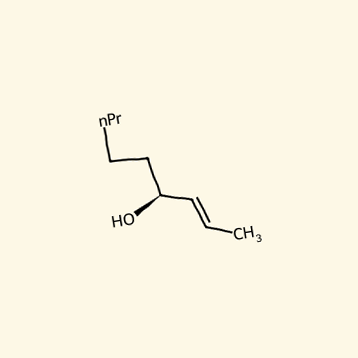 C/C=C/[C@@H](O)CCCCC